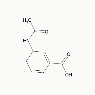 CC(=O)NC1C=C(C(=O)O)C=CC1